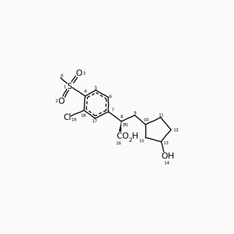 CS(=O)(=O)c1ccc([C@@H](CC2CCC(O)C2)C(=O)O)cc1Cl